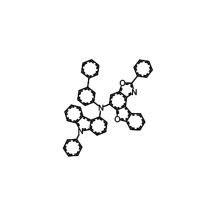 c1ccc(-c2cccc(N(c3cc4oc(-c5ccccc5)nc4c4c3oc3ccccc34)c3cccc4c3c3ccccc3n4-c3ccccc3)c2)cc1